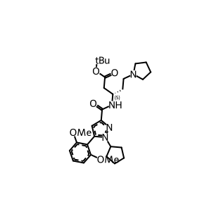 COc1cccc(OC)c1-c1cc(C(=O)N[C@@H](CCN2CCCC2)CC(=O)OC(C)(C)C)nn1C1CCCC1